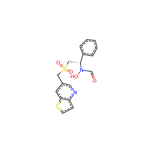 O=CN(O)[C@H](CS(=O)(=O)Cc1cnc2ccsc2c1)c1ccccc1